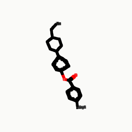 CCCCCCCc1ccc(C(=O)Oc2ccc(C3CCC(CC(C)CC)CC3)cc2)cc1